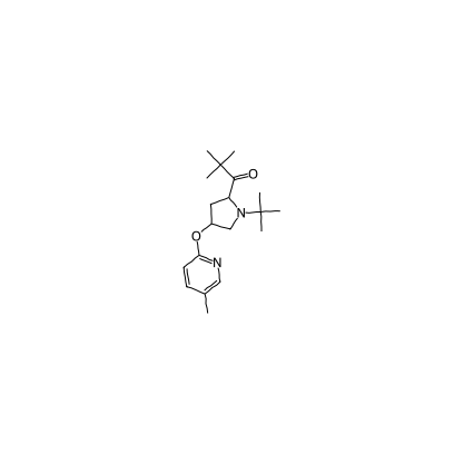 Cc1ccc(OC2CC(C(=O)C(C)(C)C)N(C(C)(C)C)C2)nc1